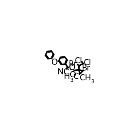 CC1(C)CC1(C(=O)O[C@H](C#N)c1cccc(Oc2ccccc2)c1)C(Br)C(Cl)(Cl)Br